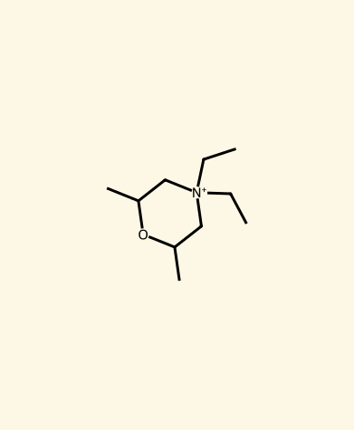 CC[N+]1(CC)CC(C)OC(C)C1